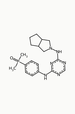 CP(C)(=O)c1ccc(Nc2ncnc(NN3CC4CCCC4C3)n2)cc1